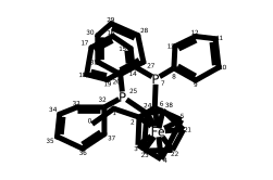 CC[C]12[CH]3[CH]4[CH]5[C]1(P(c1ccccc1)c1ccccc1)[Fe]43521678[CH]2[CH]1[CH]6[C]7(P(c1ccccc1)c1ccccc1)[CH]28